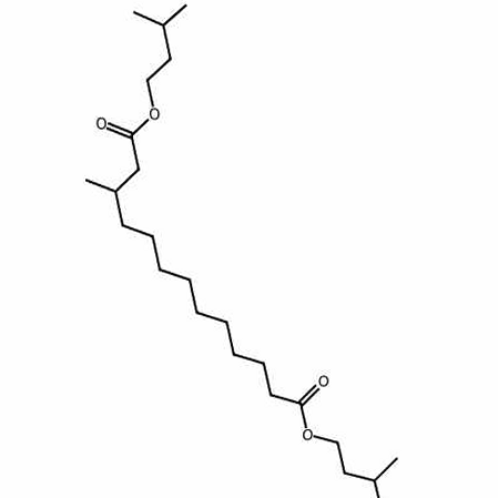 CC(C)CCOC(=O)CCCCCCCCCC(C)CC(=O)OCCC(C)C